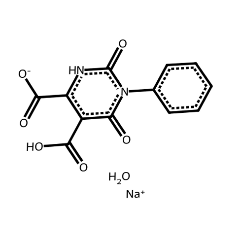 O.O=C([O-])c1[nH]c(=O)n(-c2ccccc2)c(=O)c1C(=O)O.[Na+]